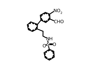 O=Cc1cc(-c2ccccc2CCNS(=O)(=O)c2ccccc2)ccc1[N+](=O)[O-]